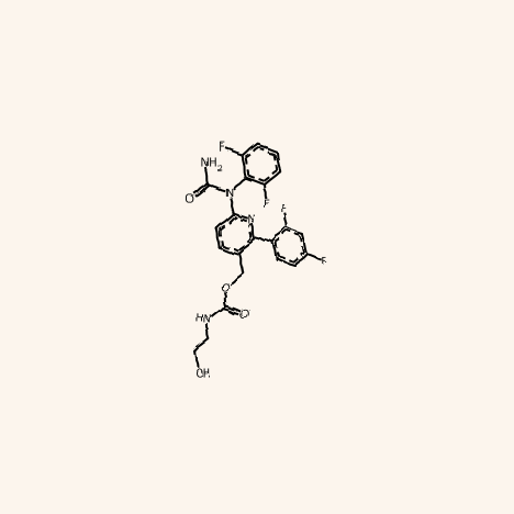 NC(=O)N(c1ccc(COC(=O)NCCO)c(-c2ccc(F)cc2F)n1)c1c(F)cccc1F